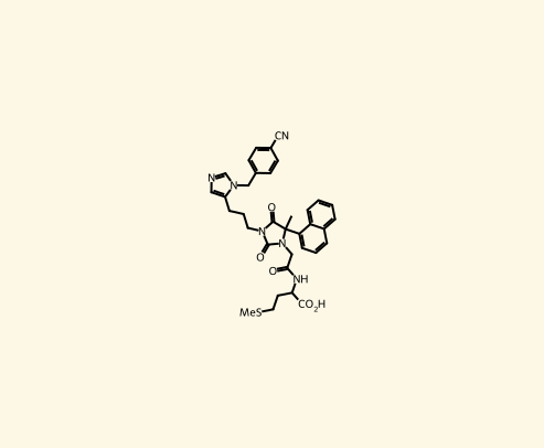 CSCCC(NC(=O)CN1C(=O)N(CCCc2cncn2Cc2ccc(C#N)cc2)C(=O)C1(C)c1cccc2ccccc12)C(=O)O